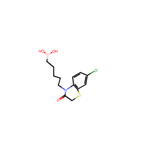 O=C1CSc2cc(Cl)ccc2N1CCCCCB(O)O